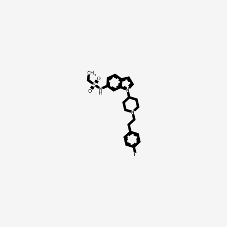 CCS(=O)(=O)Nc1ccc2ccn(C3CCN(CCc4ccc(F)cc4)CC3)c2c1